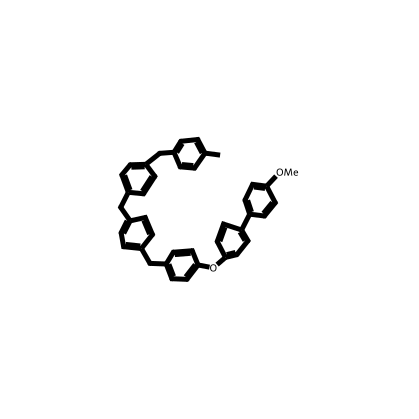 COc1ccc(-c2ccc(Oc3ccc(Cc4ccc(Cc5ccc(Cc6ccc(C)cc6)cc5)cc4)cc3)cc2)cc1